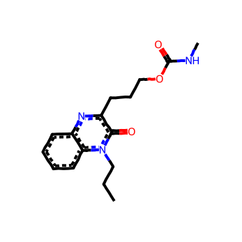 CCCn1c(=O)c(CCCOC(=O)NC)nc2ccccc21